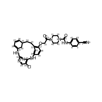 N#Cc1ccc(NC(=O)N2CCN(C(=O)COc3ccc4cc3CCC3C=CC=C(C3)Nc3ncc(Cl)c(n3)N4)CC2)cc1